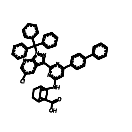 O=C(O)C1C2CCC(CC2)C1Nc1cc(-c2ccc(-c3ccccc3)cc2)nc(-c2nn(C(c3ccccc3)(c3ccccc3)c3ccccc3)c3ncc(Cl)cc23)n1